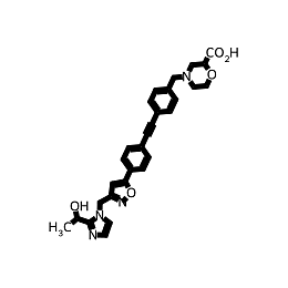 CC(O)c1nccn1Cc1cc(-c2ccc(C#Cc3ccc(CN4CCOC(C(=O)O)C4)cc3)cc2)on1